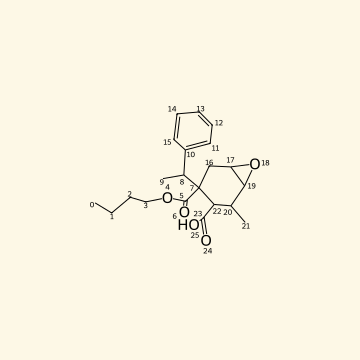 CCCCOC(=O)C1(C(C)c2ccccc2)CC2OC2C(C)C1C(=O)O